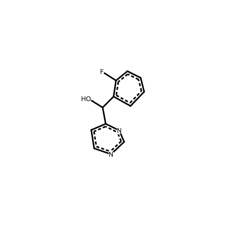 OC(c1ccncn1)c1ccccc1F